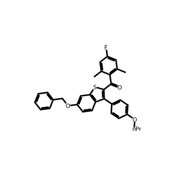 CCCOc1ccc(-c2c(C(=O)c3c(C)cc(F)cc3C)sc3cc(OCc4ccccc4)ccc23)cc1